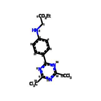 CCOC(=O)CNc1ccc(-c2nc(C(Cl)(Cl)Cl)nc(C(Cl)(Cl)Cl)n2)cc1